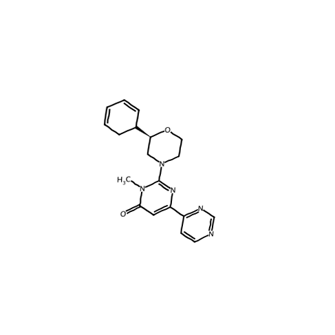 Cn1c(N2CCO[C@H](C3C=CC=CC3)C2)nc(-c2ccncn2)cc1=O